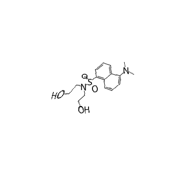 CN(C)c1cccc2c(S(=O)(=O)N(CCO)CCO)cccc12